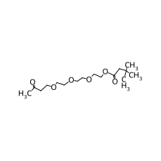 CC(=O)CCOCCOCCOCCOC(=O)CC(C)(C)C